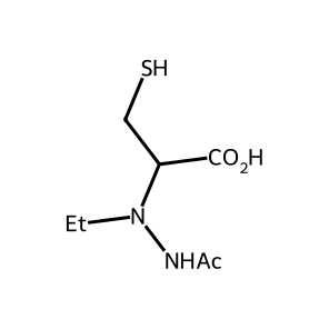 CCN(NC(C)=O)C(CS)C(=O)O